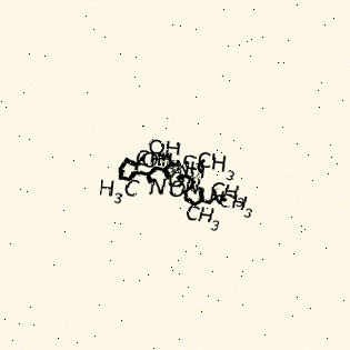 Cc1cc(=O)n([C@@H](CC(C)C)C(=O)N[C@@H](CC(=O)O)c2cncc(-c3c(C)cccc3C)c2)cc1CN(C)C